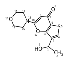 CC(O)c1csc2c(=O)cc(N3CCOCC3)oc12